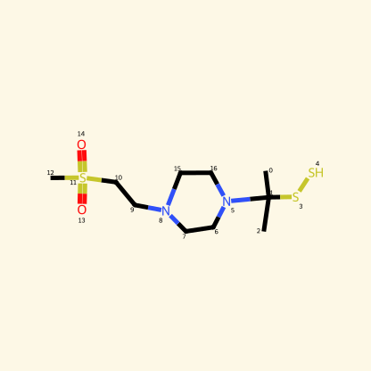 CC(C)(SS)N1CCN(CCS(C)(=O)=O)CC1